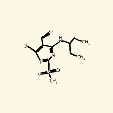 CCC(CC)Nc1nc(S(C)(=O)=O)nc(Cl)c1C=O